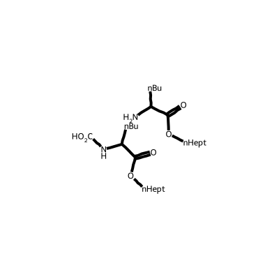 CCCCCCCOC(=O)C(CCCC)NC(=O)O.CCCCCCCOC(=O)C(N)CCCC